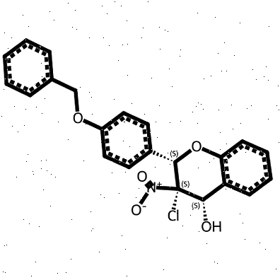 O=[N+]([O-])[C@]1(Cl)[C@@H](O)c2ccccc2O[C@H]1c1ccc(OCc2ccccc2)cc1